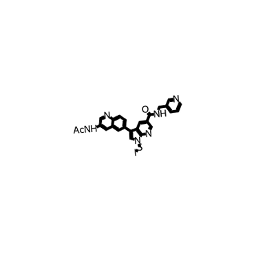 CC(=O)Nc1cnc2ccc(-c3cn(SI)c4ncc(C(=O)NCc5cccnc5)cc34)cc2c1